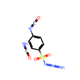 N=C=O.N=[N+]=NS(=O)(=O)c1ccc(N=C=O)cc1